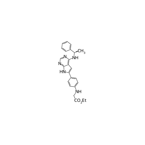 CCOC(=O)CNc1ccc(-c2cc3c(N[C@H](C)c4ccccc4)ncnc3[nH]2)cc1